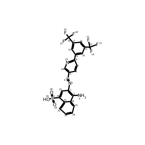 Nc1c(N=Nc2ccc(-c3cc(C(F)(F)F)cc(C(F)(F)F)c3)nc2)cc(S(=O)(=O)O)c2ccccc12